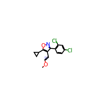 CO/C=C/c1c(-c2ccc(Cl)cc2Cl)noc1C1CC1